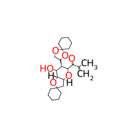 C=C(C)C(=O)C1O[C@H]2CC3(CCCCC3)O[C@@H]2[C@@H](O)[C@H]1C1COC2(CCCCC2)O1